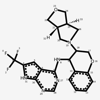 FC(F)(F)c1cc2c(NC3c4ccccc4OCC3N3C[C@@H]4COC[C@H]4C3)ncnc2[nH]1